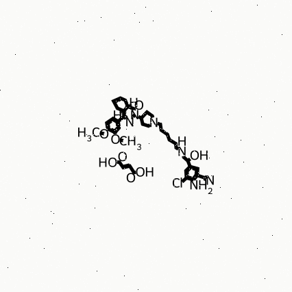 COc1ccc(C2=NN(C3CCN(CCCCCCNCC(O)c4cc(Cl)c(N)c(C#N)c4)CC3)C(=O)[C@@H]3CC=CC[C@H]23)cc1OC.O=C(O)C=CC(=O)O